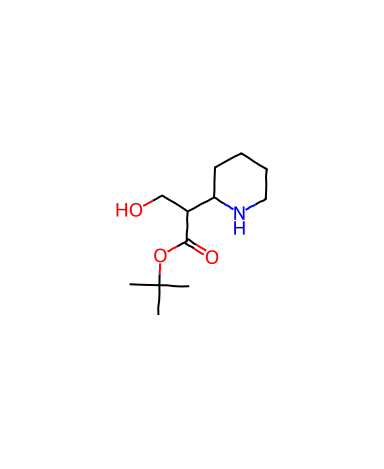 CC(C)(C)OC(=O)C(CO)C1CCCCN1